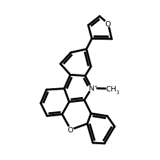 C[n+]1c2c3c(cccc3c3ccc(-c4ccoc4)cc31)Oc1ccccc1-2